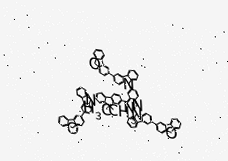 CC1(C)c2cc(-c3nc(-n4c5ccccc5c5cc(-c6ccc7oc8ccccc8c7c6)ccc54)nc4ccc(-n5c6ccccc6c6cc(-c7ccc8oc9ccccc9c8c7)ccc65)cc34)ccc2-c2ccc(-n3c4ccccc4c4cc(-c5ccc6oc7ccccc7c6c5)ccc43)cc21